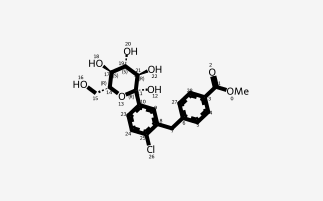 COC(=O)c1ccc(Cc2cc([C@@]3(O)O[C@H](CO)[C@@H](O)[C@H](O)[C@H]3O)ccc2Cl)cc1